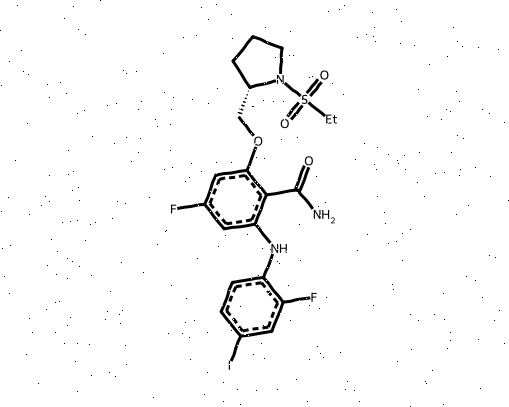 CCS(=O)(=O)N1CCC[C@H]1COc1cc(F)cc(Nc2ccc(I)cc2F)c1C(N)=O